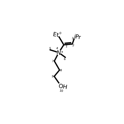 CC/C(=C\C(C)C)[N+](C)(C)CCCO